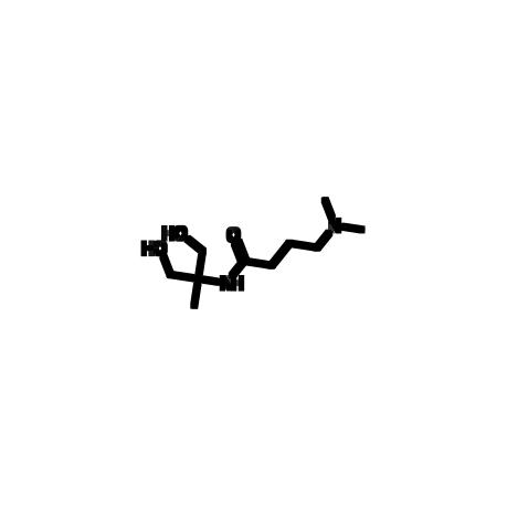 CN(C)CCCC(=O)NC(C)(CO)CO